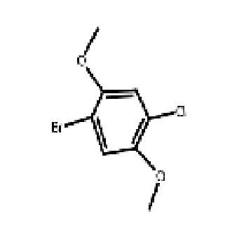 COc1cc(Br)c(OC)cc1Cl